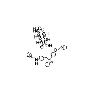 O.O=C(O)C(=O)O.O=C(O)C(=O)O.O=C(O)C(=O)O.c1ccc2c(Cc3ccc(NCCN4CCCC4)cc3)c(-c3ccc(OCCN4CCCC4)cc3)sc2c1